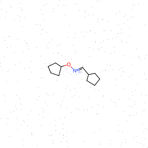 [C](=N\OC1CCCC1)/C1CCCC1